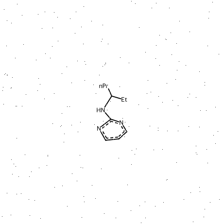 CCCC(CC)Nc1ncccn1